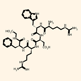 N=C(N)NCCC[C@H](NC(=O)[C@H](CC(=O)O)NC(=O)[C@H](Cc1c[nH]c2ccccc12)NC(=O)[C@@H](N)CCCNC(=N)N)C(=O)N[C@@H](Cc1ccccc1)C(=O)NCC(=O)O